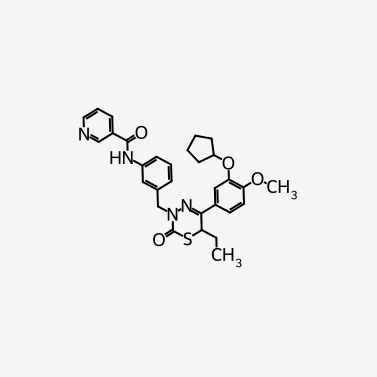 CCC1SC(=O)N(Cc2cccc(NC(=O)c3cccnc3)c2)N=C1c1ccc(OC)c(OC2CCCC2)c1